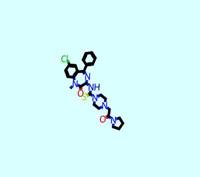 CN1C(=O)C(NC(=S)N2CCN(CC(=O)N3CCCC3)CC2)N=C(c2ccccc2)c2cc(Cl)ccc21